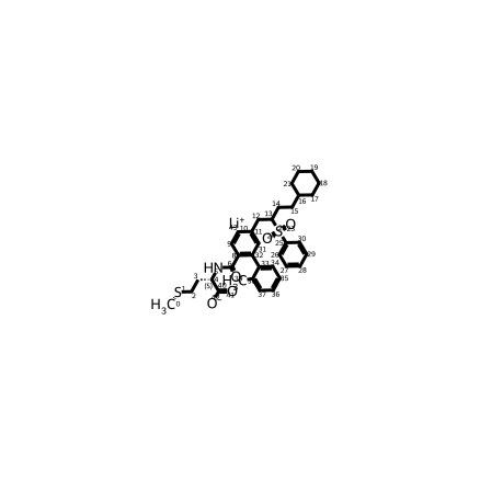 CSCC[C@H](NC(=O)c1ccc(CC(CCC2CCCCC2)S(=O)(=O)c2ccccc2)cc1-c1ccccc1C)C(=O)[O-].[Li+]